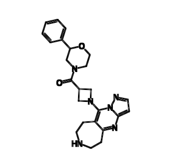 O=C(C1CN(c2c3c(nc4ccnn24)CCNCC3)C1)N1CCOC(c2ccccc2)C1